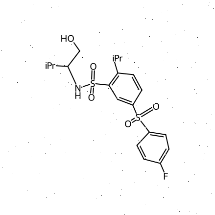 CC(C)c1ccc(S(=O)(=O)c2ccc(F)cc2)cc1S(=O)(=O)NC(CO)C(C)C